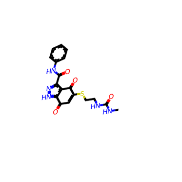 CNC(=O)NCCSC1=CC(=O)c2[nH]nc(C(=O)Nc3ccccc3)c2C1=O